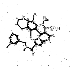 Cc1cccc(CN(C)C(=O)c2cc3nc(C)c([C@H](OC(C)(C)C)C(=O)O)c(-c4cc(F)c5c(c4C)CCCO5)n3n2)c1